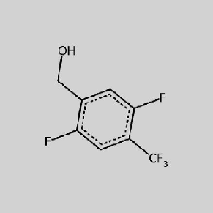 OCc1cc(F)c(C(F)(F)F)cc1F